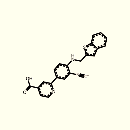 [C-]#[N+]c1cc(-c2cc(C(=O)O)ccn2)ccc1NCc1cc2ccccc2s1